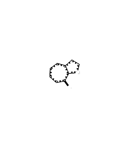 O=c1ccccc2cc[nH]c12